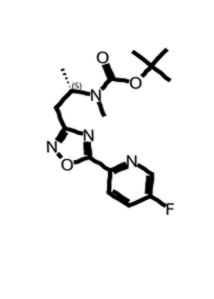 C[C@@H](Cc1noc(-c2ccc(F)cn2)n1)N(C)C(=O)OC(C)(C)C